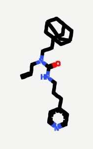 C=CCN(CCC12CC3CC(CC(C3)C1)C2)C(=O)NCCCc1ccncc1